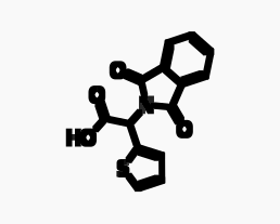 O=C(O)C(c1cccs1)N1C(=O)c2ccccc2C1=O